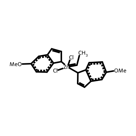 C[CH]=[Zr]([Cl])([Cl])([CH]1C=Cc2cc(OC)ccc21)[CH]1C=Cc2cc(OC)ccc21